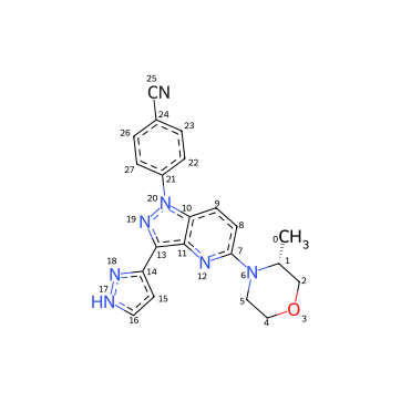 C[C@@H]1COCCN1c1ccc2c(n1)c(-c1cc[nH]n1)nn2-c1ccc(C#N)cc1